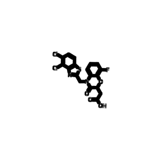 O=C(O)CC1Oc2c(F)cccc2N(Cc2nc3c(Cl)c(Cl)ccc3s2)C1=O